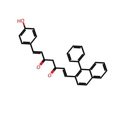 O=C(C=Cc1ccc(O)cc1)CC(=O)C=Cc1ccc2ccccc2c1-c1ccccc1